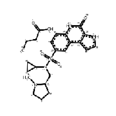 CCCC(=O)O.CN1CCC[C@@H]1CN(C1CC1)S(=O)(=O)c1ccc2[nH]c(=O)c3[nH]ccc3c2c1